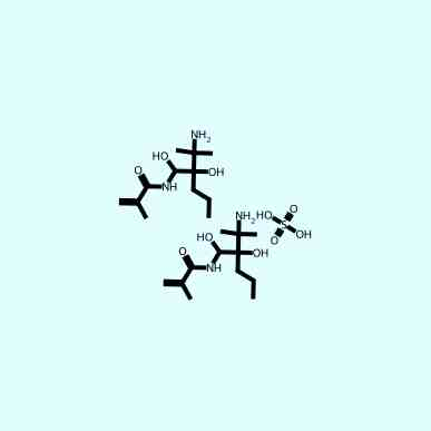 C=C(C)C(=O)NC(O)C(O)(CCC)C(C)(C)N.C=C(C)C(=O)NC(O)C(O)(CCC)C(C)(C)N.O=S(=O)(O)O